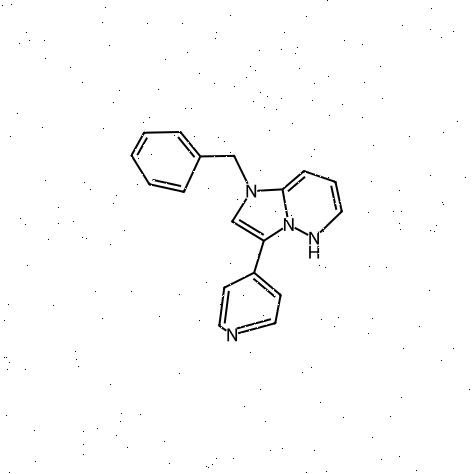 C1=CNN2C(c3ccncc3)=CN(Cc3ccccc3)C2=C1